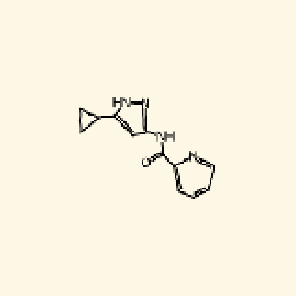 O=C(Nc1cc(C2CC2)[nH]n1)c1ccccn1